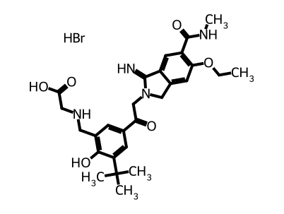 Br.CCOc1cc2c(cc1C(=O)NC)C(=N)N(CC(=O)c1cc(CNCC(=O)O)c(O)c(C(C)(C)C)c1)C2